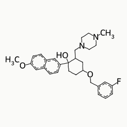 COc1ccc2cc(C3(O)CCC(OCc4cccc(F)c4)CC3CN3CCN(C)CC3)ccc2c1